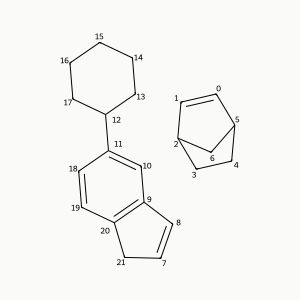 C1=CC2CCC1C2.C1=Cc2cc(C3CCCCC3)ccc2C1